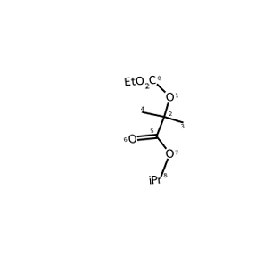 CCOC(=O)OC(C)(C)C(=O)OC(C)C